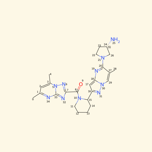 Cc1cc(C)n2nc(C(=O)N3CCCCC3c3cc4nc(N5CC[C@H](N)C5)c(C)cn4n3)nc2n1